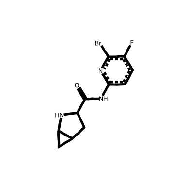 O=C(Nc1ccc(F)c(Br)n1)C1CC2CC2N1